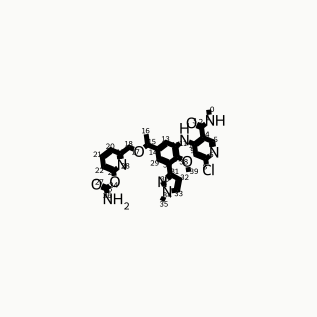 CNC(=O)c1cnc(Cl)cc1Nc1cc(C(C)OCc2cccc(OC(N)=O)n2)cc(-c2ccn(C)n2)c1OC